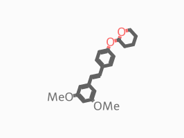 COc1cc(C=Cc2ccc(OC3CCCCO3)cc2)cc(OC)c1